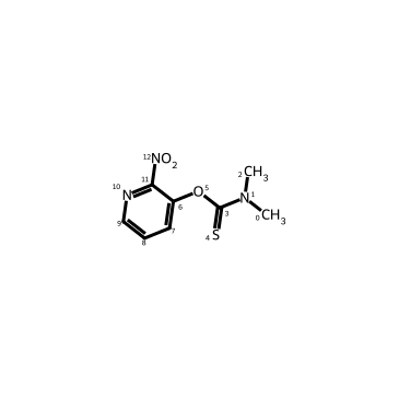 CN(C)C(=S)Oc1cccnc1[N+](=O)[O-]